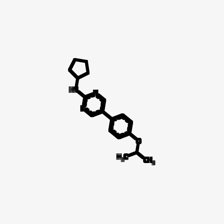 CC(C)Oc1ccc(-c2cnc(NC3CCCC3)nc2)cc1